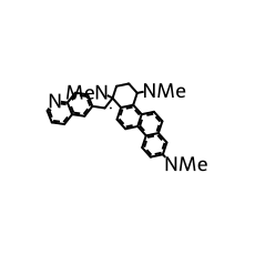 CNc1ccc2c(ccc3c4c(ccc32)C([CH]c2ccc3ncccc3c2)(NC)CCC4NC)c1